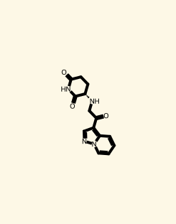 O=C1CC[C@H](NCC(=O)c2cnn3ccccc23)C(=O)N1